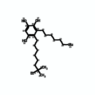 CCC(C)(C)CCCCCCc1c(O)cc(O)c(O)c1CCCCCCC(C)(C)C